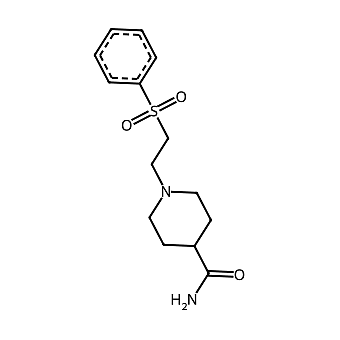 NC(=O)C1CCN(CCS(=O)(=O)c2ccccc2)CC1